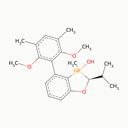 COc1c(C)cc(C)c(OC)c1-c1cccc2c1[PH](C)(O)[C@@H](C(C)C)O2